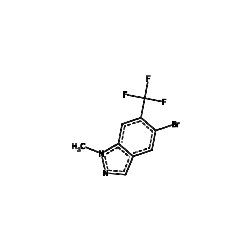 Cn1ncc2cc(Br)c(C(F)(F)F)cc21